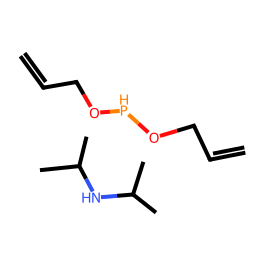 C=CCOPOCC=C.CC(C)NC(C)C